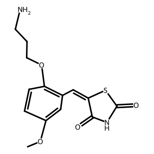 COc1ccc(OCCCN)c(C=C2SC(=O)NC2=O)c1